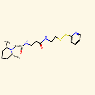 [13CH3][C@@H]1CCC[C@H]([13CH3])N1[13CH2][13C](=O)[15NH]CCC(=O)NCCSSc1ccccn1